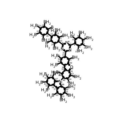 Bc1c(B)c(B)c(-c2nc(-c3c(B)c(B)c(-c4c(B)c(B)c(B)c(B)c4B)c(B)c3B)nc(-c3c(B)c(B)c4c(oc5c(B)c(B)c(-n6c7c(B)c(B)c(B)c(B)c7c7c(B)c(B)c(B)c(B)c76)c(B)c54)c3B)n2)c(B)c1B